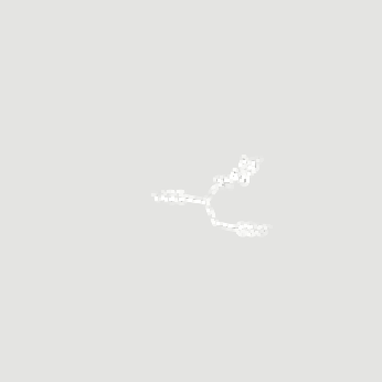 O=C([O-])CC(S)C(=O)[O-].[Ag+].[Ag+]